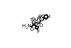 CC(C)(C)N(C(=O)O)[C@@H](CC1(F)CCCC1)C(=O)N[C@]1([C@H](O)C(N)=O)C[C@@H](F)C1